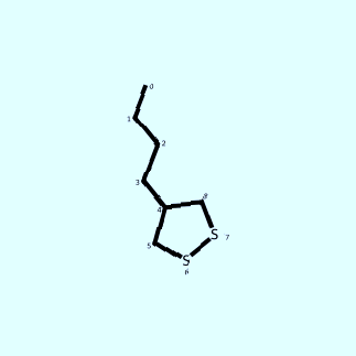 CCCCC1CSSC1